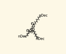 CCCCCCCCCCCCCCCCCC(=O)OC[C@@H](COC(=O)CCCCCCCCCCCCC)OC(=O)CCCCCCCCCCCCCCC